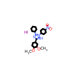 COc1ccc(C2=NN(c3ccccc3)N(c3ccc([N+](=O)[O-])cc3)N2)cc1OC.I